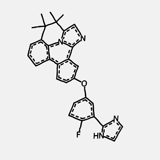 CC1(C)c2cccc3c4ccc(Oc5ccc(F)c(-c6ncc[nH]6)c5)cc4c4ncc(n4c23)C1(C)C